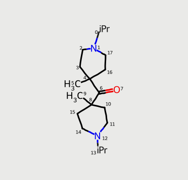 CC(C)N1CCC(C)(C(=O)C2(C)CCN(C(C)C)CC2)CC1